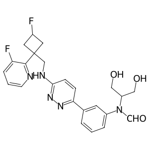 O=CN(c1cccc(-c2ccc(NCC3(c4ncccc4F)CC(F)C3)nn2)c1)C(CO)CO